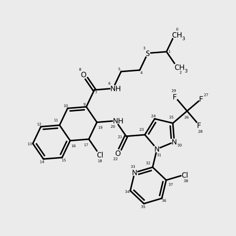 CC(C)SCCNC(=O)C1=Cc2ccccc2C(Cl)C1NC(=O)c1cc(C(F)(F)F)nn1-c1ncccc1Cl